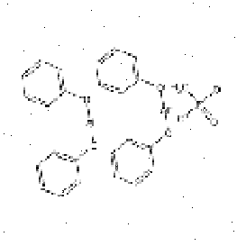 CP(=O)([O-])[O-].c1ccc([O][Al+][O]c2ccccc2)cc1.c1ccc([O][Al+][O]c2ccccc2)cc1